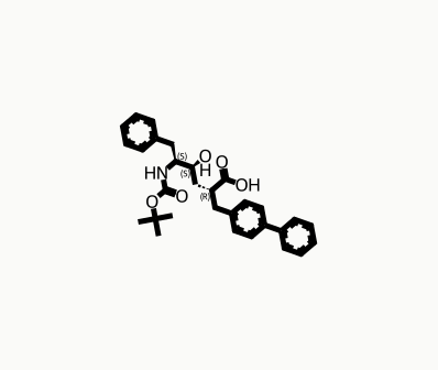 CC(C)(C)OC(=O)N[C@@H](Cc1ccccc1)[C@@H](O)C[C@@H](Cc1ccc(-c2ccccc2)cc1)C(=O)O